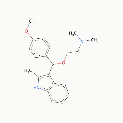 COc1ccc(C(OCCN(C)C)c2c(C)[nH]c3ccccc23)cc1